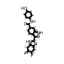 O=C(Nc1ccc(O)cc1)c1ccc2c(-c3nc4cc(F)c(F)cc4[nH]3)n[nH]c2c1